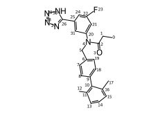 CCC(=O)N(Cc1ccc(-c2c(C)cccc2C)cc1)c1cc(F)cc(-c2nnn[nH]2)c1